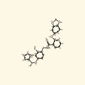 C[C@H](Oc1ccc(CNC(=O)c2cccnc2Oc2ccc3c(c2)OCO3)c(F)c1)c1nnn[nH]1